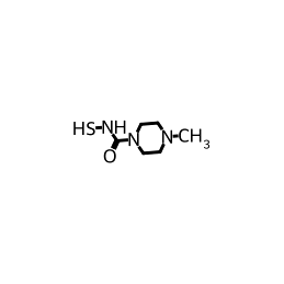 CN1CCN(C(=O)NS)CC1